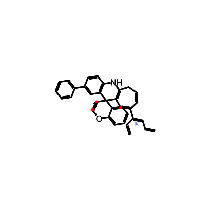 C=C/C=C(\C=C)C1=CC2=C(CC=C1)Nc1ccc(-c3ccccc3)cc1C21c2ccccc2Oc2ccccc21